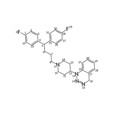 Fc1ccc(C(CCCN2CCC(N3N=NCc4ccccc43)CC2)c2ccc(F)cc2)cc1